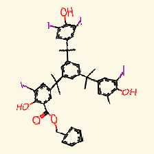 Cc1cc(C(C)(C)c2cc(C(C)(C)c3cc(I)c(O)c(I)c3)cc(C(C)(C)c3cc(I)c(O)c(C(=O)OCc4ccccc4)c3)c2)cc(I)c1O